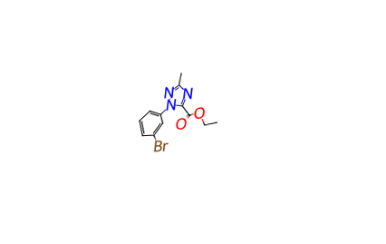 CCOC(=O)c1nc(C)nn1-c1cccc(Br)c1